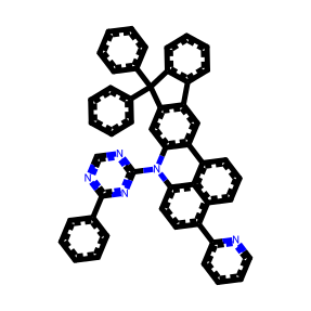 c1ccc(-c2ncnc(N3c4cc5c(cc4-c4cccc6c(-c7ccccn7)ccc3c46)-c3ccccc3C5(c3ccccc3)c3ccccc3)n2)cc1